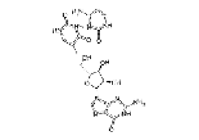 Cc1c[nH]c(=O)[nH]c1=O.Nc1cc[nH]c(=O)n1.Nc1nc2c(ncn2[C@@H]2O[C@H](CO)[C@@H](O)[C@H]2O)c(=O)[nH]1